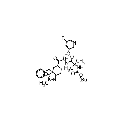 CN1N=C2CCN(C(=O)[C@@H](COc3cncc(F)c3)NC(=O)C(C)(C)NC(=O)OC(C)(C)C)C[C@@]2(Cc2ccccc2)C1=O